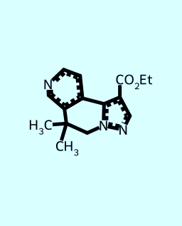 CCOC(=O)c1cnn2c1-c1ccncc1C(C)(C)C2